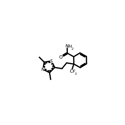 Cc1nc(C)c(CCC2(C(F)(F)F)C=CC=CC2C(N)=O)s1